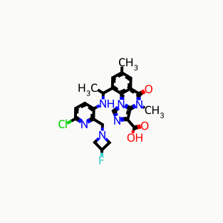 Cc1cc(C(C)Nc2ccc(Cl)nc2CN2CC(F)C2)c2c(c1)c(=O)n(C)c1c(C(=O)O)ncn21